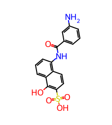 Nc1cccc(C(=O)Nc2cccc3c(O)c(S(=O)(=O)O)ccc23)c1